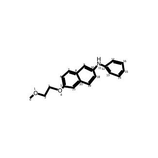 COCCOc1ccc2cc(Nc3ccccc3)ccc2c1